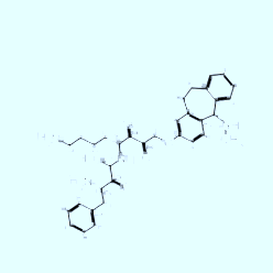 CNC1c2ccccc2CCc2cc(OCC(=O)C(=O)[C@H](CCCCN)NC(C)C(=O)[C@@H](N)Cc3ccccc3)ccc21